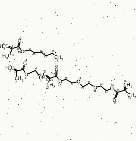 C=C(C)C(=O)OCC.C=C(C)C(=O)OCCCCCC.C=C(C)C(=O)OCCOCCOCCOC(=O)C(=C)C